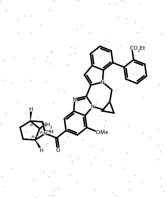 CCOC(=O)c1ccccc1-c1cccc2cc(-c3nc4cc(C(=O)N5C[C@H]6CC[C@@H]5[C@@H]6N)cc(OC)c4n3C)n(CC3CC3)c12